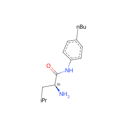 CCCCc1ccc(NC(=O)[C@@H](N)CC(C)C)cc1